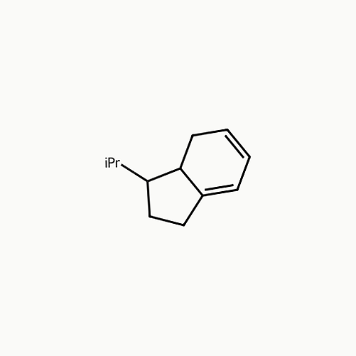 CC(C)C1CCC2=CC=CCC21